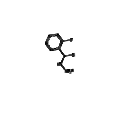 O=S(=O)(O)N[C](Cl)c1ccccc1F